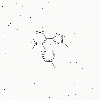 Cc1csc(C(C=O)=C(c2ccc(F)cc2)N(C)C)c1